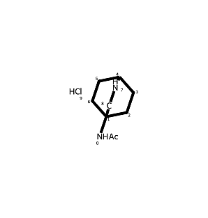 CC(=O)NC12CCC(CC1)NC2.Cl